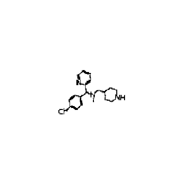 CN(CC1CCNCC1)C(c1ccc(Cl)cc1)c1ccccn1